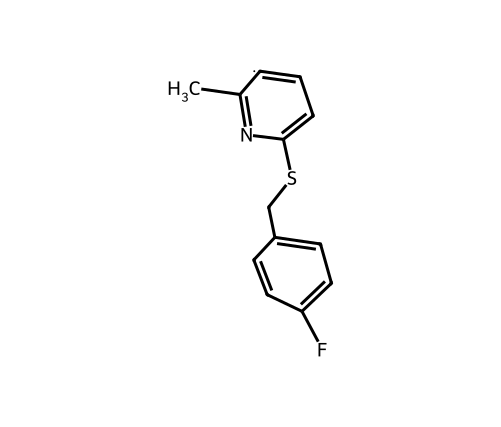 Cc1[c]ccc(SCc2ccc(F)cc2)n1